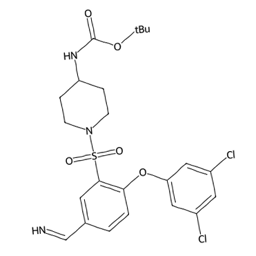 CC(C)(C)OC(=O)NC1CCN(S(=O)(=O)c2cc(C=N)ccc2Oc2cc(Cl)cc(Cl)c2)CC1